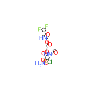 CC(COC(=O)CCCOC(=O)c1cc(S(N)(=O)=O)c(Cl)cc1NCc1ccco1)N[C@@H](C)C(=O)c1cc(F)cc(F)c1